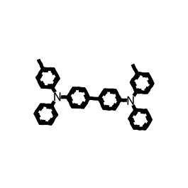 Cc1ccc(N(c2ccccc2)c2ccc(-c3ccc(N(c4ccccc4)c4cccc(C)c4)cc3)cc2)cc1